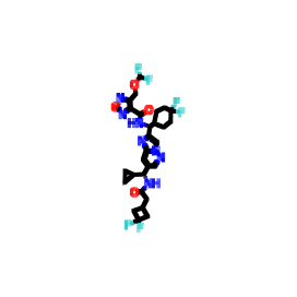 O=C(CC1CC(F)(F)C1)N[C@@H](c1cnn2cc([C@@H](NC(=O)c3nonc3COC(F)F)C3CCC(F)(F)CC3)nc2c1)C1CC1